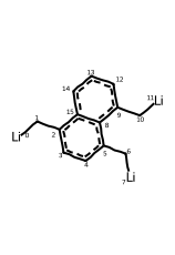 [Li][CH2]c1ccc([CH2][Li])c2c([CH2][Li])cccc12